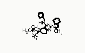 Cc1cc2ccccc2n1-c1nc2c(c(NCc3ccccc3)n1)CC(C(=O)OC(C)(C)C)CC2